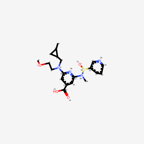 COCCN(CC1CC1C)c1cc(C(=O)O)cc(N(C)[S+]([O-])c2cccnc2)n1